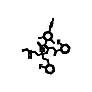 C=CNCCC(CC)(CCc1ccccc1F)C/C(CC(=C)c1ccccc1F)=C(\C=C)c1c(C)cc(C#CC)cc1C